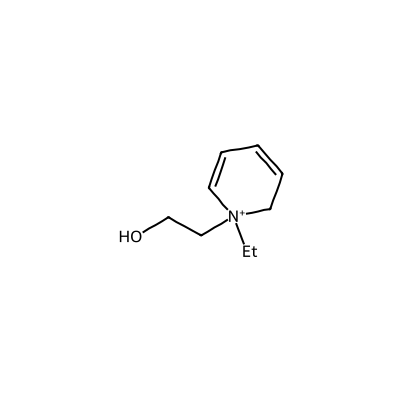 CC[N+]1(CCO)C=CC=CC1